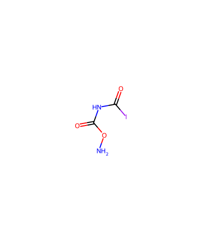 NOC(=O)NC(=O)I